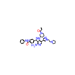 C=CC(=O)N1CCCC(n2nc(-c3ccc(C(=O)Nc4ccccc4)cc3)c3c(N)ncc(-c4cnn(CCN5CCCC5)c4)c32)C1